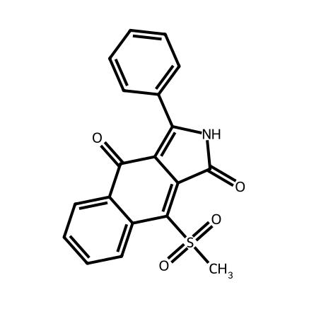 CS(=O)(=O)C1=C2C(=O)NC(c3ccccc3)=C2C(=O)c2ccccc21